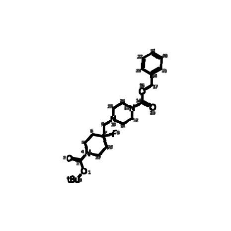 CC(C)(C)OC(=O)N1CCC(F)(CN2CCN(C(=O)OCc3ccccc3)CC2)CC1